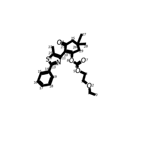 CCOCCOC(=O)OC1=C(c2nc(-c3ccccc3)sc2C)C(=O)CC(C)(C)C1